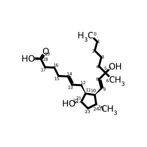 CCCCCC(C)(O)C=C[C@@H]1[C@H](CC=CCCCC(=O)O)[C@@H](O)C[C@H]1C